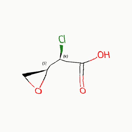 O=C(O)[C@H](Cl)[C@@H]1CO1